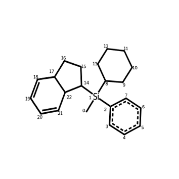 C[Si](c1ccccc1)(C1CCCCC1)C1CCC2C=CC=CC21